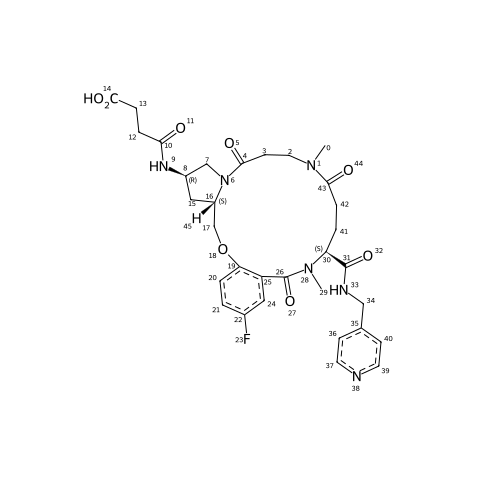 CN1CCC(=O)N2C[C@H](NC(=O)CCC(=O)O)C[C@H]2COc2ccc(F)cc2C(=O)N(C)[C@H](C(=O)NCc2ccncc2)CCC1=O